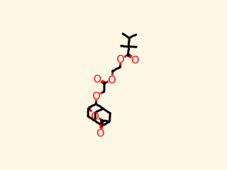 CC(C)C(C)(C)C(=O)OCCOC(=O)COC1C2CC3CC(C2)C(=O)OC1C3